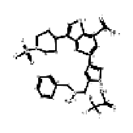 CCS(=O)(=O)N1CCC(c2c[nH]c3c(C(N)=O)cc(-c4csc(CN(C)Cc5ccccc5)c4)cc23)CC1.O=C(O)C(F)(F)F